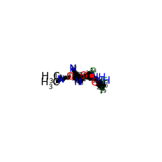 CCN(CC)CCCOc1cc2nccc(Oc3ccc(NC(=O)Nc4ccc(F)cc4F)c(F)c3)c2cc1C#N